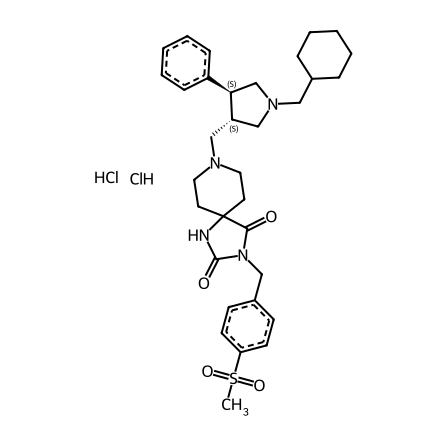 CS(=O)(=O)c1ccc(CN2C(=O)NC3(CCN(C[C@H]4CN(CC5CCCCC5)C[C@@H]4c4ccccc4)CC3)C2=O)cc1.Cl.Cl